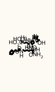 CC(C)(O)c1cnnn1[C@H]1C[C@@H](C(=O)NC(CCCCNC(=O)OCc2ccccc2)C(O)C(N)=O)N(C(=O)C(CNC(=O)O)NC(=O)O)C1